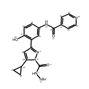 CCCCNC(=O)n1nc(-c2cc(NC(=O)c3ccncc3)ccc2O)cc1C1CC1